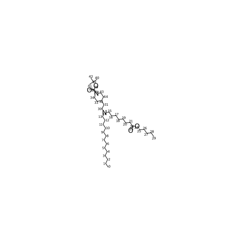 CCCCCCCCCCCCCCN(CCCCCCCC(=O)OCCCCC)CCC1CCN(C(=O)OC(C)(C)C)CC1